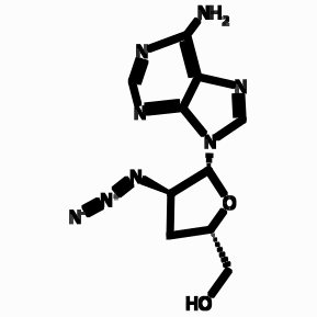 [N-]=[N+]=N[C@@H]1C[C@@H](CO)O[C@H]1n1cnc2c(N)ncnc21